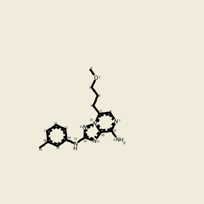 COCCCc1cnc(N)c2nc(Nc3cccc(C)c3)nn12